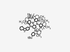 CC(C)(C)c1ccc2c(c1)C1(C)CCCCC1(C)N2c1cc2c3c(c1)N(c1ccc4sc5ccccc5c4c1)c1cc4c(cc1B3c1cc3c(cc1N2c1ccc2c(c1)C(C)(C)CCC2(C)C)C(C)(C)CCC3(C)C)C(C)(C)CCC4(C)C